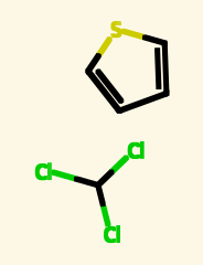 ClC(Cl)Cl.c1ccsc1